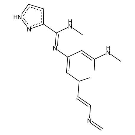 C=N/C=C/C(C)/C=C(\C=C(/C)NC)/N=C(\NC)c1cc[nH]n1